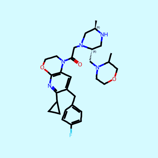 CC1COCCN1C[C@H]1CN[C@H](C)CN1CC(=O)N1CCOc2nc(C3CC3)c(Cc3ccc(F)cc3)cc21